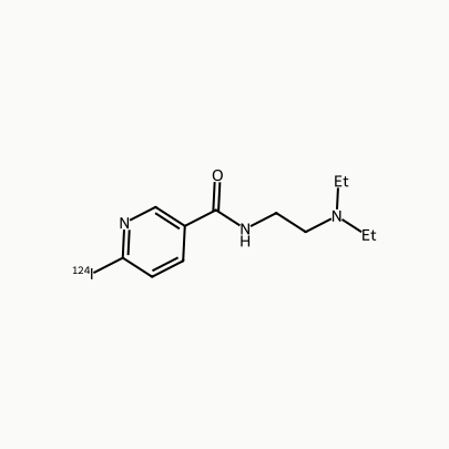 CCN(CC)CCNC(=O)c1ccc([124I])nc1